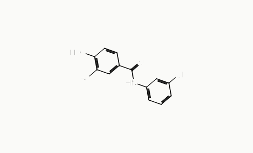 Cc1ccc(C(=O)Nc2cccc(Cl)c2)cc1Br